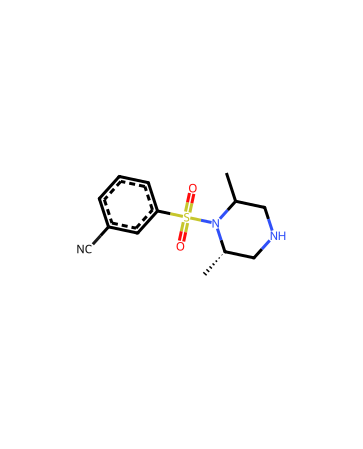 CC1CNC[C@H](C)N1S(=O)(=O)c1cccc(C#N)c1